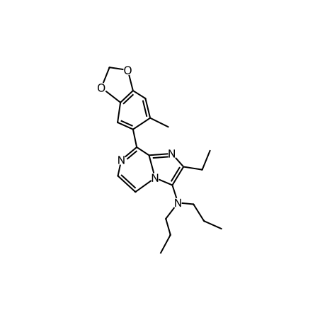 CCCN(CCC)c1c(CC)nc2c(-c3cc4c(cc3C)OCO4)nccn12